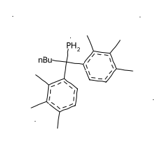 CCCCC(P)(c1ccc(C)c(C)c1C)c1ccc(C)c(C)c1C